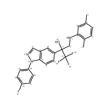 Cc1ccc(C)c(NCC(O)(c2ccc3c(cnn3-c3ccc(F)cc3)c2)C(F)(F)F)c1